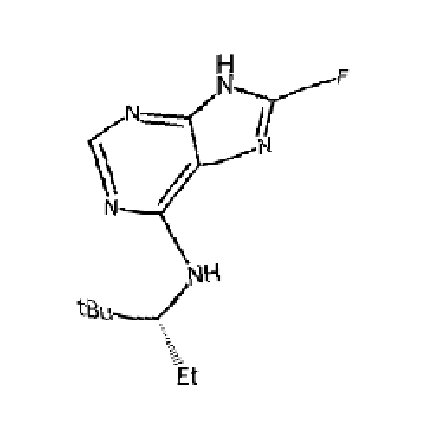 CC[C@@H](Nc1ncnc2[nH]c(F)nc12)C(C)(C)C